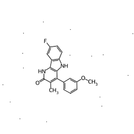 COc1cccc(-c2c(C)c(=O)[nH]c3c2[nH]c2ccc(F)cc23)c1